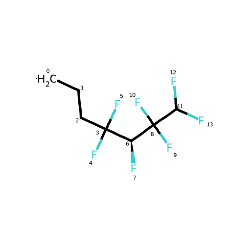 [CH2]CCC(F)(F)[C@H](F)C(F)(F)C(F)F